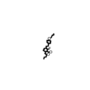 C/C=C/COc1ccc(CCc2ccc3cc(CCC)oc(=O)c3c2F)cc1